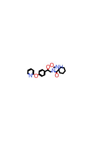 O=C(CN1C(=O)NC2(CCCCC2)C1=O)c1ccc(Oc2ccccn2)cc1